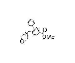 COC(=O)c1ccc(CN2CCOCC2)c(-c2ccccc2)n1